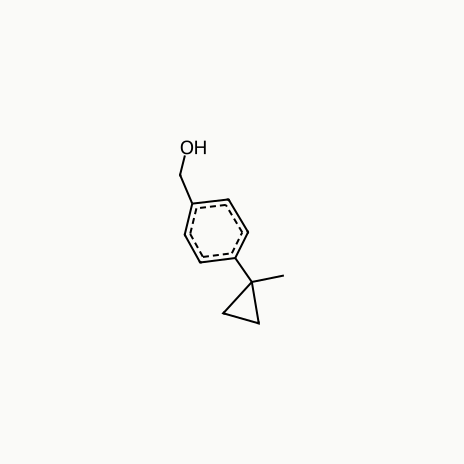 CC1(c2ccc(CO)cc2)CC1